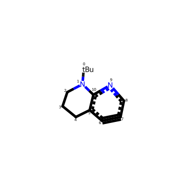 CC(C)(C)N1CCCc2c#ccnc21